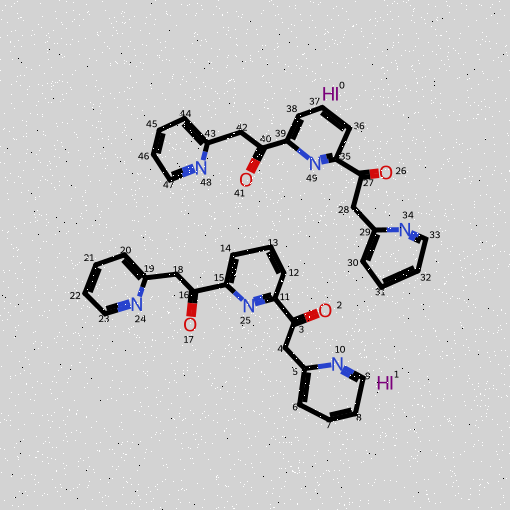 I.I.O=C(Cc1ccccn1)c1cccc(C(=O)Cc2ccccn2)n1.O=C(Cc1ccccn1)c1cccc(C(=O)Cc2ccccn2)n1